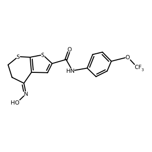 O=C(Nc1ccc(OC(F)(F)F)cc1)c1cc2c(s1)SCCC2=NO